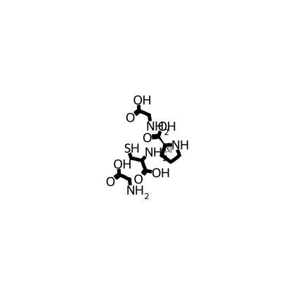 NC(CS)C(=O)O.NCC(=O)O.NCC(=O)O.O=C(O)[C@@H]1CCCN1